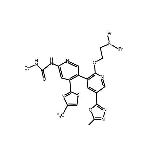 CCNC(=O)Nc1cc(-c2nc(C(F)(F)F)cs2)c(-c2cc(-c3nnc(C)o3)cnc2OCCN(C(C)C)C(C)C)cn1